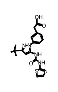 CC(C)(C)c1cc(NC(=O)Nc2nccs2)n(-c2cccc(CC(=O)O)c2)n1